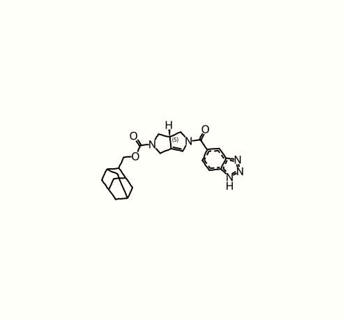 O=C(c1ccc2[nH]nnc2c1)N1C=C2CN(C(=O)OCC3C4CC5CC(C4)CC3C5)C[C@@H]2C1